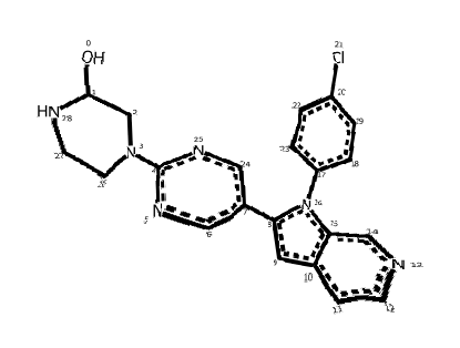 OC1CN(c2ncc(-c3cc4ccncc4n3-c3ccc(Cl)cc3)cn2)CCN1